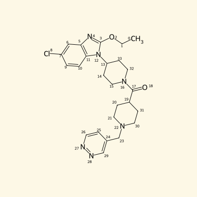 CCOc1nc2cc(Cl)ccc2n1C1CCN(C(=O)C2CCN(Cc3ccnnc3)CC2)CC1